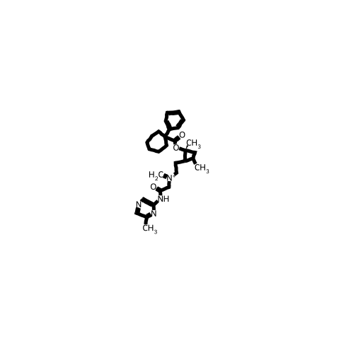 C=[N+](CCC1C(C)C[C@]1(C)OC(=O)C1(c2ccccc2)CCCCCC1)CC(=O)Nc1cncc(C)n1